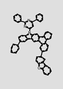 c1ccc(-c2ccc3c(c2)c2cc4c5cc(-c6ccc7oc8ccccc8c7c6)ccc5c5ccccc5c4cc2n3-c2cc(-c3ccccc3)nc(-c3ccccc3)n2)cc1